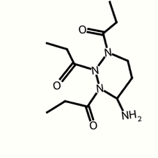 CCC(=O)N1CCC(N)N(C(=O)CC)N1C(=O)CC